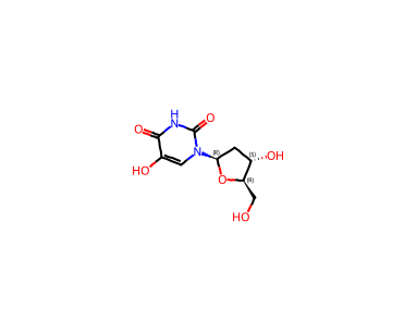 O=c1[nH]c(=O)n([C@H]2C[C@H](O)[C@@H](CO)O2)cc1O